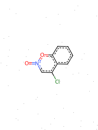 O=[n+]1cc(Cl)c2ccccc2o1